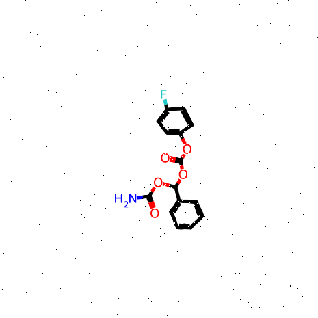 NC(=O)OC(OC(=O)Oc1ccc(F)cc1)c1ccccc1